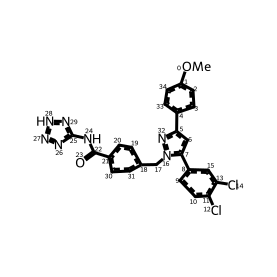 COc1ccc(-c2cc(-c3ccc(Cl)c(Cl)c3)n(Cc3ccc(C(=O)Nc4nn[nH]n4)cc3)n2)cc1